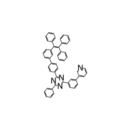 c1ccc(C(=C(c2ccccc2)c2cccc(-c3ccc(-c4nc(-c5ccccc5)nc(-c5cccc(-c6cccnc6)c5)n4)cc3)c2)c2ccccc2)cc1